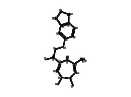 CC1N=C(N)NC(N(C)CCc2ccc3c(c2)OCO3)=NC1C